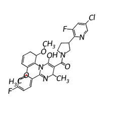 COC1=C(N2C(c3ccc(F)cc3)=NC(C)C(C(=O)N3CCC(c4ncc(Cl)cc4F)C3)=C2O)C(OC)CC=C1